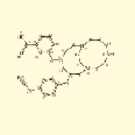 N#CSc1ccc(CC2CN3CCNCCCN(CC3)CCN(Cc3cccc(C(=O)O)n3)C2)cc1